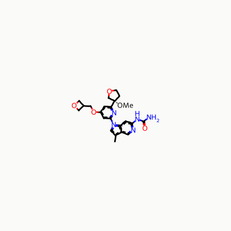 CO[C@@]1(c2cc(OCC3COC3)cc(-n3cc(C)c4cnc(NC(N)=O)cc43)n2)CCOC1